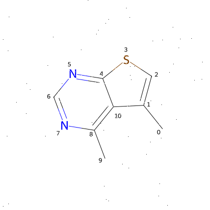 Cc1csc2ncnc(C)c12